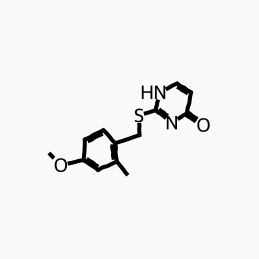 COc1ccc(CSc2nc(=O)cc[nH]2)c(C)c1